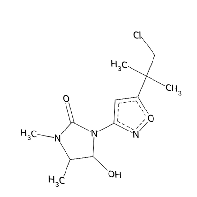 CC1C(O)N(c2cc(C(C)(C)CCl)on2)C(=O)N1C